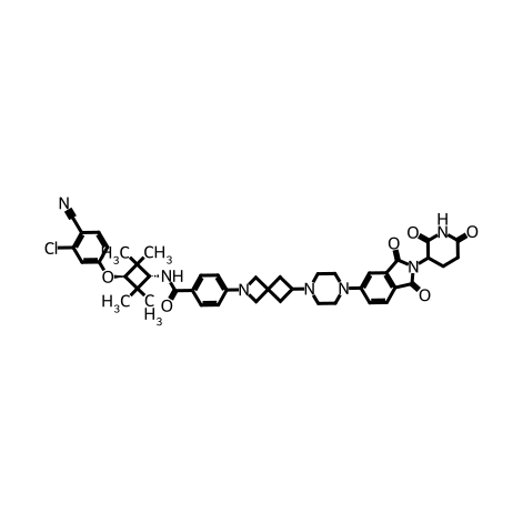 CC1(C)[C@H](NC(=O)c2ccc(N3CC4(CC(N5CCN(c6ccc7c(c6)C(=O)N(C6CCC(=O)NC6=O)C7=O)CC5)C4)C3)cc2)C(C)(C)[C@H]1Oc1ccc(C#N)c(Cl)c1